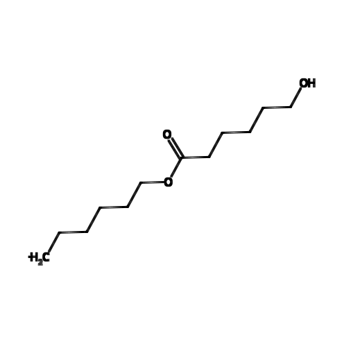 [CH2]CCCCCOC(=O)CCCCCO